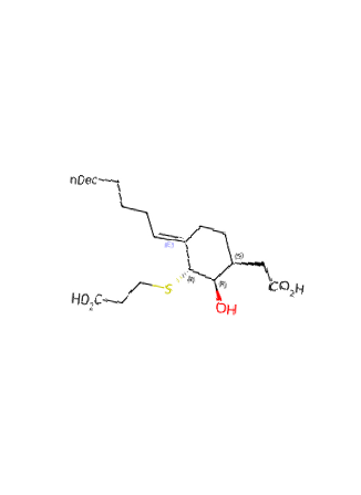 CCCCCCCCCCCCC/C=C1\CC[C@@H](CC(=O)O)[C@@H](O)[C@@H]1SCCC(=O)O